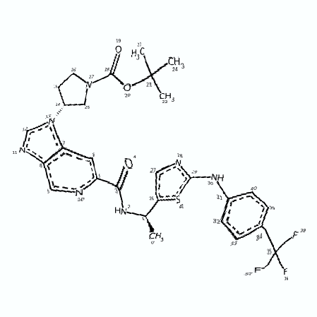 C[C@@H](NC(=O)c1cc2c(cn1)ncn2[C@@H]1CCN(C(=O)OC(C)(C)C)C1)c1cnc(Nc2ccc(C(F)(F)F)cc2)s1